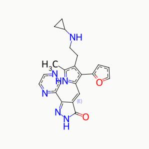 Cc1[nH]c(/C=C2/C(=O)NN=C2c2cnccn2)c(-c2ccco2)c1CCNC1CC1